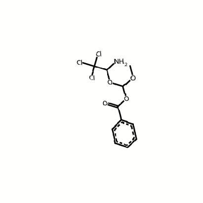 COC(OC(=O)c1ccccc1)OC(N)C(Cl)(Cl)Cl